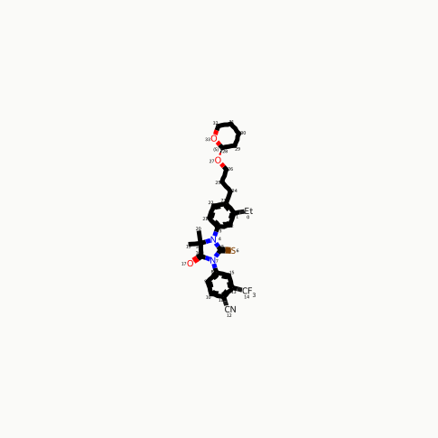 CCc1cc(N2C(=S)N(c3ccc(C#N)c(C(F)(F)F)c3)C(=O)C2(C)C)ccc1CCCO[C@H]1CCCCO1